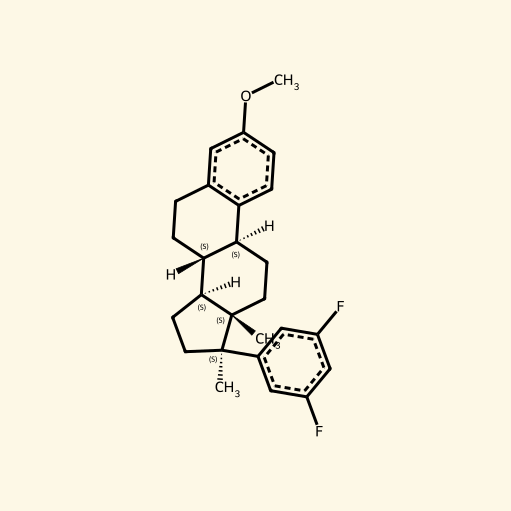 COc1ccc2c(c1)CC[C@@H]1[C@@H]2CC[C@@]2(C)[C@H]1CC[C@]2(C)c1cc(F)cc(F)c1